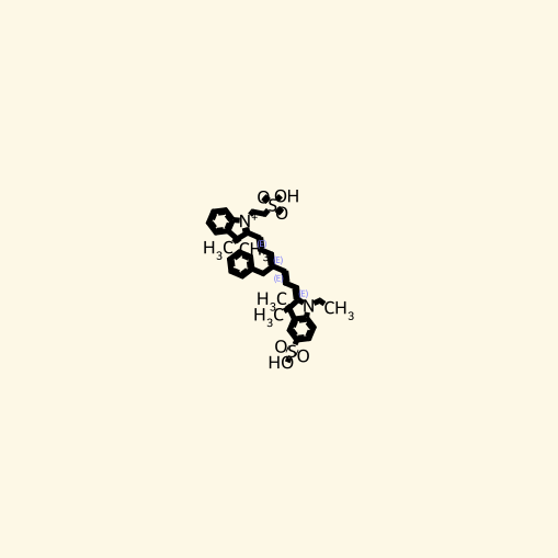 CCN1/C(=C/C=C/C(=C/C=C/C2=[N+](CCS(=O)(=O)O)c3ccccc3C2(C)C)Cc2ccccc2)C(C)(C)c2cc(S(=O)(=O)O)ccc21